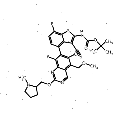 COCc1c(Cl)c(-c2ccc(F)c3sc(NC(=O)OC(C)(C)C)c(C#N)c23)c(F)c2nc(OCC3CCCN3C)ncc12